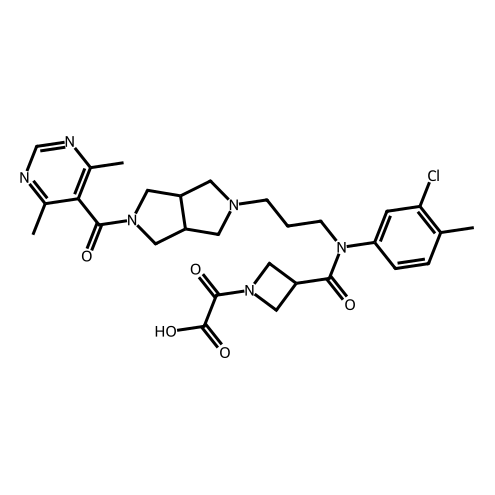 Cc1ccc(N(CCCN2CC3CN(C(=O)c4c(C)ncnc4C)CC3C2)C(=O)C2CN(C(=O)C(=O)O)C2)cc1Cl